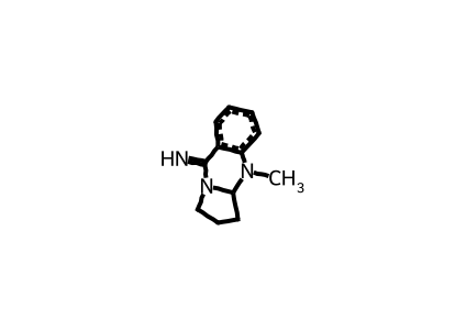 CN1c2ccccc2C(=N)N2CCCC21